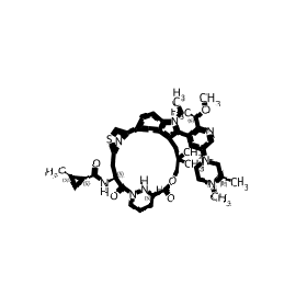 CCn1c(-c2cc(N3CCN(C)[C@H](C)C3)cnc2[C@H](C)OC)c2c3cc(ccc31)-c1csc(n1)C[C@H](NC(=O)[C@H]1C[C@@H]1C)C(=O)N1CCC[C@H](N1)C(=O)OCC(C)(C)C2